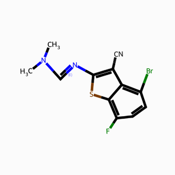 CN(C)/C=N/c1sc2c(F)ccc(Br)c2c1C#N